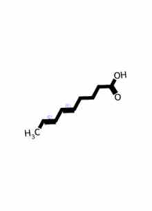 C/C=C/C=C/CCCC(=O)O